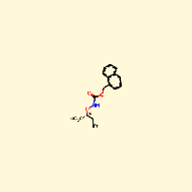 CC(C)C[C@@H](ONC(=O)OCc1cccc2ccccc12)C(=O)O